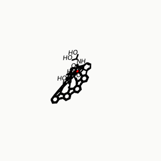 O=C(NC(CO)CO)C1(C(=O)NC(CO)CO)C23C4=CC=C5c6ccc7c8ccc9c%10ccc%11c%12ccc4c4c2c2c%13c(c6c7c6c8c9c7c%10c%11c(c4%12)c2c7c%136)C513